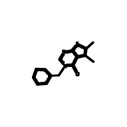 Cc1sc2ncn(Cc3ccccc3)c(=O)c2c1C